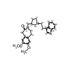 COc1cc2c(cc1OC)CC(=O)N(CC1CCN(CCc3csc4ccccc34)C1)CC2